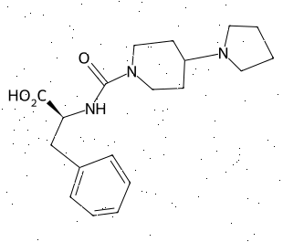 O=C(O)[C@H](Cc1ccccc1)NC(=O)N1CCC(N2CCCC2)CC1